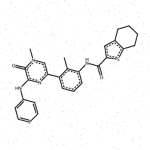 Cc1c(NC(=O)c2cc3c(s2)CCCC3)cccc1-c1cn(C)c(=O)c(NC2=CC=IC=C2)n1